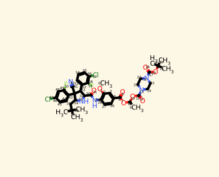 COc1cc(C(=O)OC(C)OC(=O)N2CCN(C(=O)OC(C)(C)C)CC2)ccc1NC(=O)C1NC(CC(C)(C)C)C(C#N)(c2ccc(Cl)cc2F)C1c1cccc(Cl)c1F